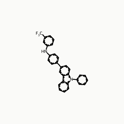 FC(F)(F)c1cccc(Nc2ccc(-c3ccc4c(c3)c3ccccc3n4-c3ccccc3)cc2)c1